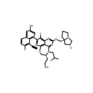 C#Cc1c(F)ccc2cc(O)cc(-c3nc4c5c(nc(OC[C@@]67CCCN6C[C@H](F)C7)nc5c3F)N(CC(F)F)[C@@H](CCO)CO4)c12